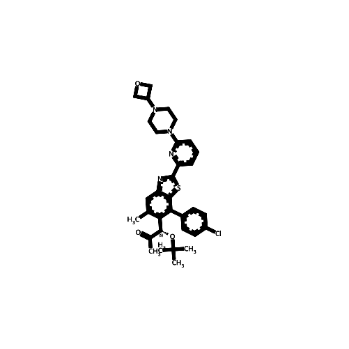 CC(=O)[C@@H](OC(C)(C)C)c1c(C)cc2nc(-c3cccc(N4CCN(C5COC5)CC4)n3)sc2c1-c1ccc(Cl)cc1